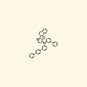 c1ccc(-c2ccc(-c3cccc(N(c4cccc(-c5ccccc5)c4)c4ccnc5c4oc4c6ccccc6ccc54)c3)cc2)cc1